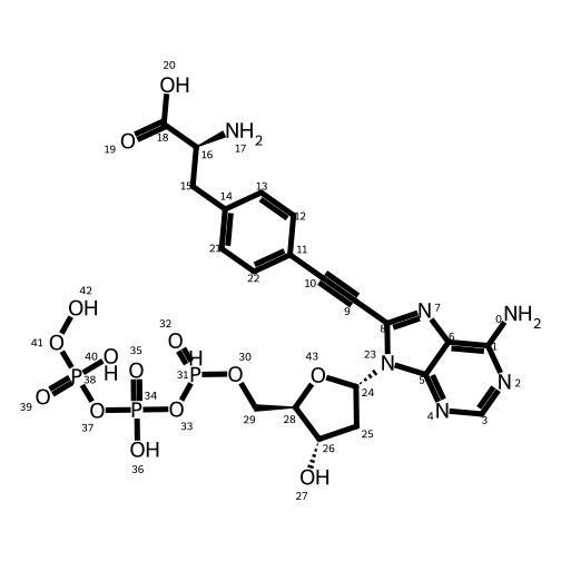 Nc1ncnc2c1nc(C#Cc1ccc(C[C@H](N)C(=O)O)cc1)n2[C@@H]1C[C@H](O)[C@@H](CO[PH](=O)OP(=O)(O)OP(=O)(O)OO)O1